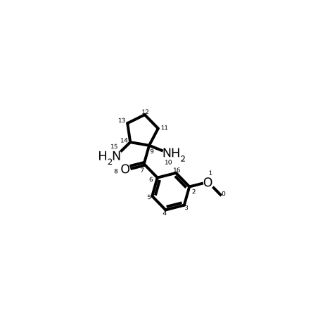 COc1cccc(C(=O)C2(N)CCCC2N)c1